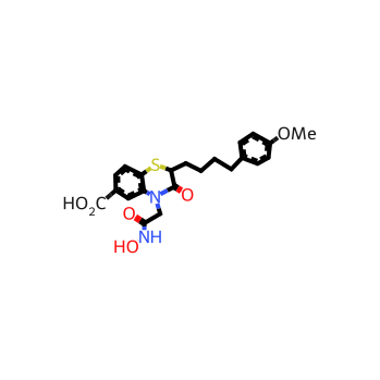 COc1ccc(CCCCC2Sc3ccc(C(=O)O)cc3N(CC(=O)NO)C2=O)cc1